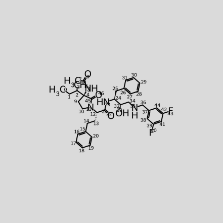 CCC(C)[C@@]1(NC(C)=O)CCN([C@@H](CCc2ccccc2)C(=O)N[C@@H](Cc2ccccc2)[C@H](O)CNCc2cc(F)cc(F)c2)C1=O